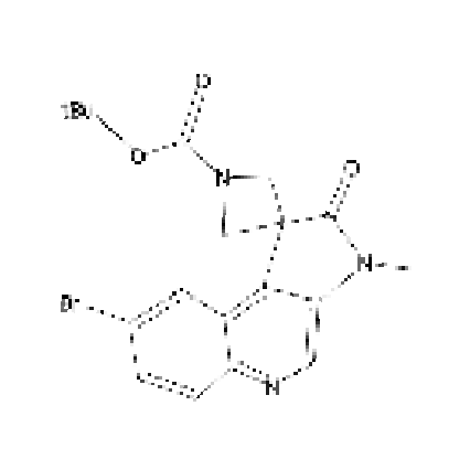 CN1C(=O)C2(CN(C(=O)OC(C)(C)C)C2)c2c1cnc1ccc(Br)cc21